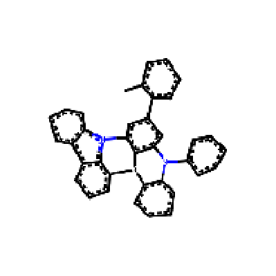 Cc1ccccc1-c1cc2c3c(c1)-n1c4ccccc4c4cccc(c41)B3c1ccccc1N2c1ccccc1